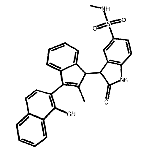 CNS(=O)(=O)c1ccc2c(c1)C(C1C(C)=C(c3ccc4ccccc4c3O)c3ccccc31)C(=O)N2